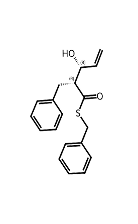 C=C[C@@H](O)[C@@H](Cc1ccccc1)C(=O)SCc1ccccc1